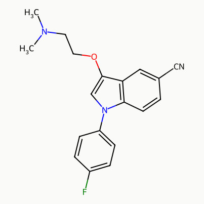 CN(C)CCOc1cn(-c2ccc(F)cc2)c2ccc(C#N)cc12